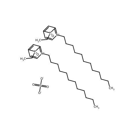 CCCCCCCCCCCC[n+]1ccc2cc1P2(=O)CC.CCCCCCCCCCCC[n+]1ccc2cc1P2(=O)CC.O=S(=O)([O-])[O-]